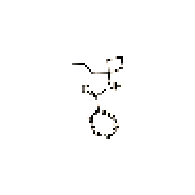 CCCC1(NC(=O)c2ccccc2)CCC1